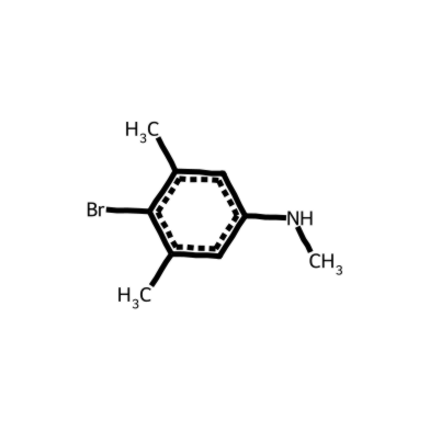 CNc1cc(C)c(Br)c(C)c1